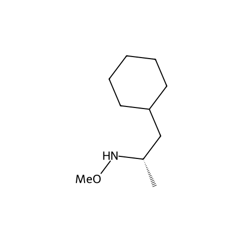 CON[C@@H](C)CC1CCCCC1